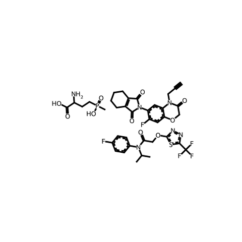 C#CCN1C(=O)COc2cc(F)c(N3C(=O)C4=C(CCCC4)C3=O)cc21.CC(C)N(C(=O)COc1nnc(C(F)(F)F)s1)c1ccc(F)cc1.CP(=O)(O)CCC(N)C(=O)O